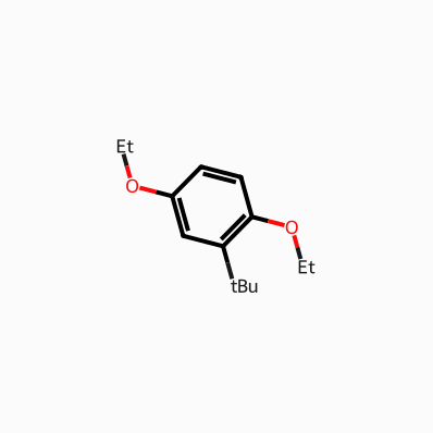 CCOc1ccc(OCC)c(C(C)(C)C)c1